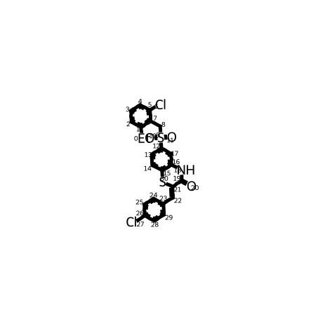 CCc1cccc(Cl)c1CS(=O)(=O)c1ccc2c(c1)NC(=O)/C(=C/c1ccc(Cl)cc1)S2